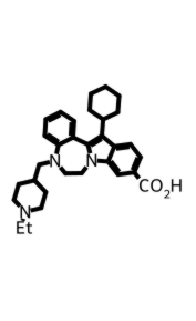 CCN1CCC(CN2CCn3c(c(C4CCCCC4)c4ccc(C(=O)O)cc43)-c3ccccc32)CC1